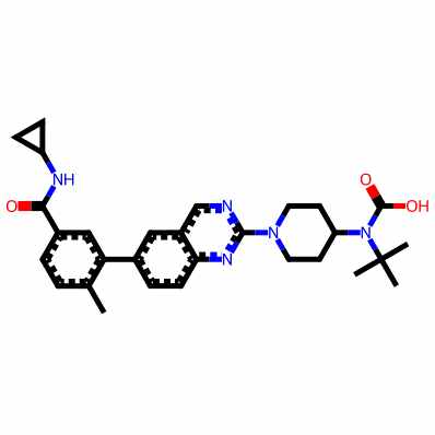 Cc1ccc(C(=O)NC2CC2)cc1-c1ccc2nc(N3CCC(N(C(=O)O)C(C)(C)C)CC3)ncc2c1